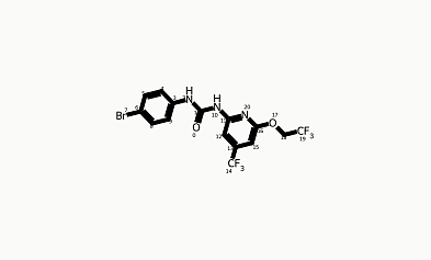 O=C(Nc1ccc(Br)cc1)Nc1cc(C(F)(F)F)cc(OCC(F)(F)F)n1